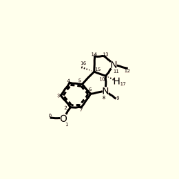 COc1ccc2c(c1)N(C)[C@@H]1N(C)CC[C@]21C